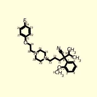 COc1ccccc1C(C#N)(CCCN1CCN(CCOc2ccc(F)cc2)CC1)C(C)C